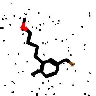 COCCCCc1cc(CBr)ccc1C